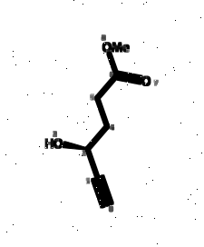 C#C[C@@H](O)CCC(=O)OC